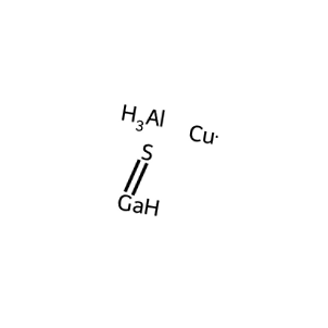 [AlH3].[Cu].[S]=[GaH]